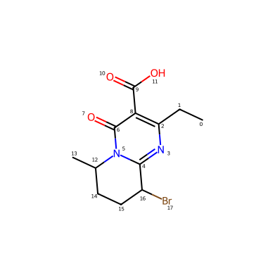 CCc1nc2n(c(=O)c1C(=O)O)C(C)CCC2Br